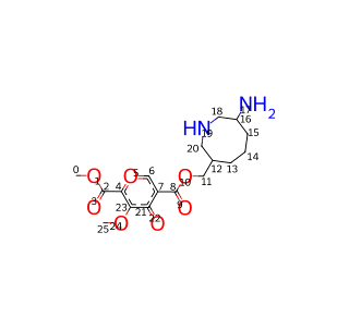 COC(=O)c1occ(C(=O)OCC2CCCC(N)CNC2)c(=O)c1OC